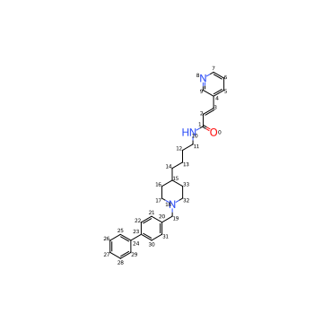 O=C(C=Cc1cccnc1)NCCCCC1CCN(Cc2ccc(-c3ccccc3)cc2)CC1